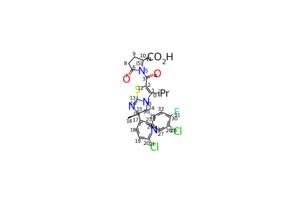 CC(C)C1=C(C(=O)N2C(=O)CC[C@H]2C(=O)O)SC2=N[C@@](C)(c3ccc(Cl)nc3)[C@@H](c3ccc(Cl)c(F)c3)N21